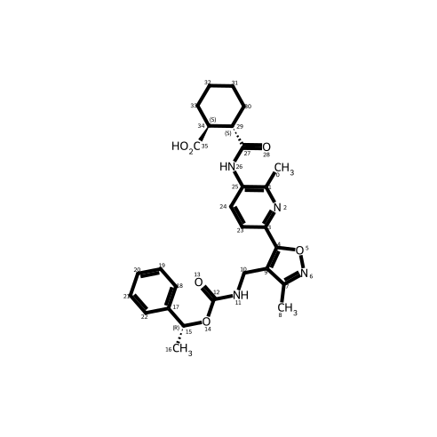 Cc1nc(-c2onc(C)c2CNC(=O)O[C@H](C)c2ccccc2)ccc1NC(=O)[C@H]1CCCC[C@@H]1C(=O)O